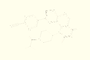 CC(C)C(=S)N1CCC(n2c(=O)[nH]c(=O)c3cnc4ccc(-c5cnc(C#N)nc5)nc4c32)CC1